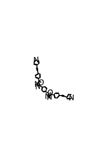 C(#Cc1ccc(-c2nnc(-c3ccc(-c4nnc(-c5ccc(C#Cc6ccncc6)cc5)o4)cc3)o2)cc1)c1ccncc1